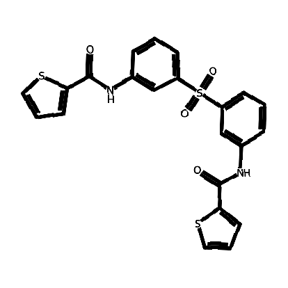 O=C(Nc1cccc(S(=O)(=O)c2cccc(NC(=O)c3cccs3)c2)c1)c1cccs1